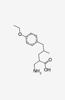 CCOc1ccc(CC(C)CC(CN)C(=O)O)cc1